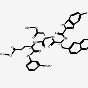 COc1cccc(NC(=O)[C@@H](CCC(=O)OC(C)(C)C)NC(=O)[C@H](CC(=O)OC(C)(C)C)NC(=O)[C@H](Cc2ccc3ccccc3c2)NC(=O)c2cc3cc(Cl)ccc3[nH]2)c1